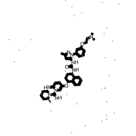 Cc1cc(NC(=O)N[C@H]2CC[C@@H](Oc3ccc(=N)n(C(=N)N4CCCC[C@@H]4C)c3)c3ccccc32)n(-c2cccc(OCCN(C)C)c2)n1